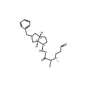 C[C@@H](CCC=O)N(C)C(=O)ON[C@@H]1CC[C@H]2CN(Cc3ccccc3)C[C@H]21